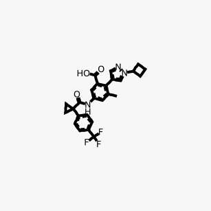 Cc1cc(NC(=O)C2(c3ccc(C(F)(F)F)cc3)CC2)cc(C(=O)O)c1-c1cnn(C2CCC2)c1